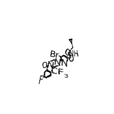 O=C(c1cc(F)ccc1C(F)(F)F)N1CCN(c2ncc(S(=O)(=O)NCCC3CC3)cc2Br)CC1